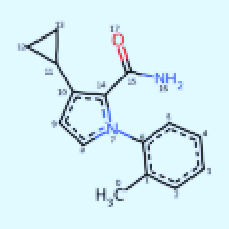 Cc1ccccc1-n1ccc(C2CC2)c1C(N)=O